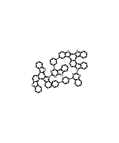 c1ccc(-c2ccc(-c3nc(-n4c5ccccc5c5c6c(ccc54)c4c5cc(-c7cccc(-c8nc(-n9c%10ccccc%10c%10c%11c(ccc%12sc%13ccccc%13c%12%11)c%11c%12ccccc%12sc%11c%109)nc9oc%10ccccc%10c89)c7)ccc5sc4c4sc5ccccc5c46)nc4ccccc34)cc2)cc1